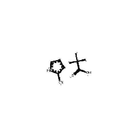 CC(C)(C)C(=O)O.N#Cc1ccc[nH]1